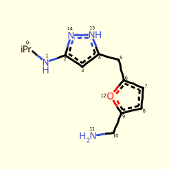 CC(C)Nc1cc(Cc2ccc(CN)o2)[nH]n1